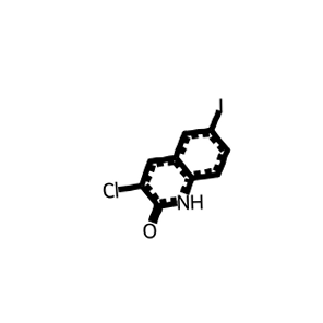 O=c1[nH]c2ccc(I)cc2cc1Cl